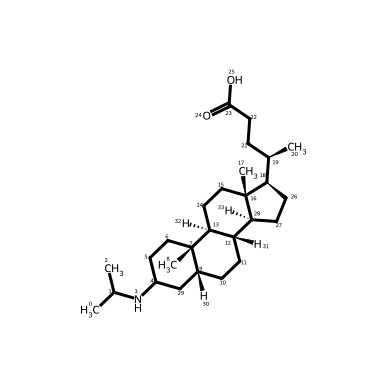 CC(C)NC1CC[C@@]2(C)[C@H](CC[C@@H]3[C@@H]2CC[C@]2(C)[C@@H]([C@H](C)CCC(=O)O)CC[C@@H]32)C1